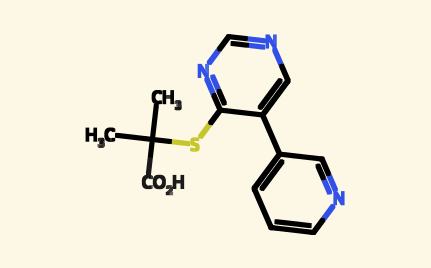 CC(C)(Sc1ncncc1-c1cccnc1)C(=O)O